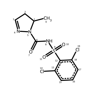 CC1CC=NN1C(=O)NS(=O)(=O)c1c(Cl)cccc1Cl